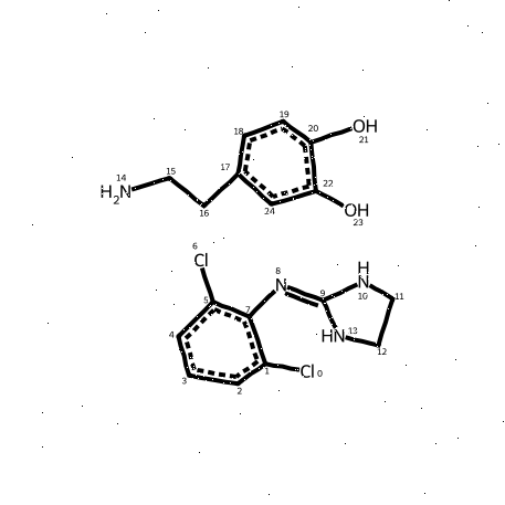 Clc1cccc(Cl)c1N=C1NCCN1.NCCc1ccc(O)c(O)c1